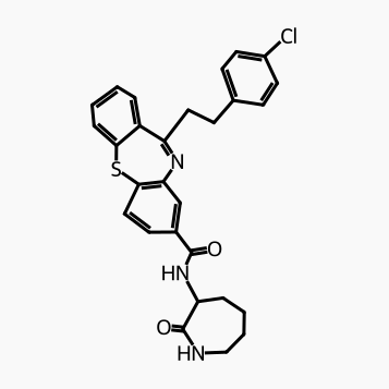 O=C(NC1CCCCNC1=O)c1ccc2c(c1)N=C(CCc1ccc(Cl)cc1)c1ccccc1S2